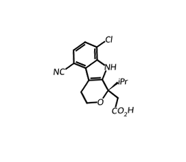 CC(C)[C@@]1(CC(=O)O)OCCc2c1[nH]c1c(Cl)ccc(C#N)c21